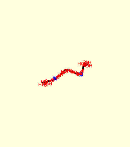 CC(CO)(COCCOCCOCCOCCOCCn1cc(COCCCCCCCO[C@@H]2OC(CO)[C@@H](O)C(O)C2O)nn1)COCCOCCOCCOCCOCCn1cc(COCCCCCCCO[C@H]2OC(CO)[C@@H](O)C(O)C2O)nn1